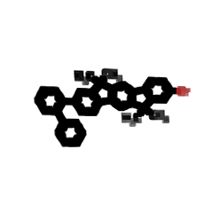 CC1(C)c2cc(Br)ccc2-c2cc3c(cc21)-c1ccc(-c2ccccc2-c2ccccc2)cc1C3(C)C